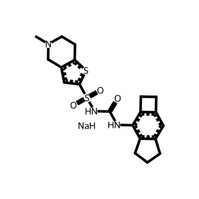 CN1CCc2sc(S(=O)(=O)NC(=O)Nc3c4c(cc5c3CC5)CCC4)cc2C1.[NaH]